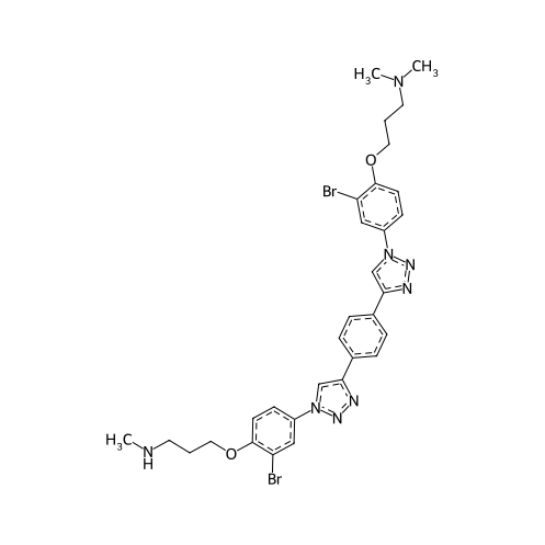 CNCCCOc1ccc(-n2cc(-c3ccc(-c4cn(-c5ccc(OCCCN(C)C)c(Br)c5)nn4)cc3)nn2)cc1Br